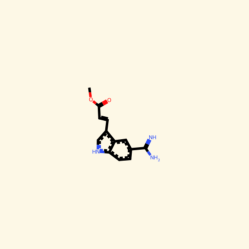 COC(=O)C=Cc1c[nH]c2ccc(C(=N)N)cc12